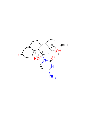 C#C[C@]1(O)CCC2C3CCC4=CC(=O)CCC4(C)C3[C@](O)(n3ccc(N)nc3=O)CC21C